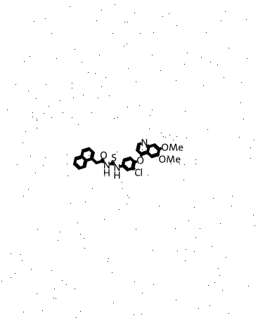 COc1cc2nccc(Oc3ccc(NC(=S)NC(=O)Cc4cccc5ccccc45)cc3Cl)c2cc1OC